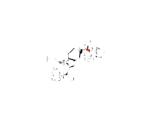 CC(C)(C)OC(=O)N1C2CCC1CC(Oc1ccc3c(c1)cc(C(=O)N1CCOCC1)n3CC(F)(F)F)C2